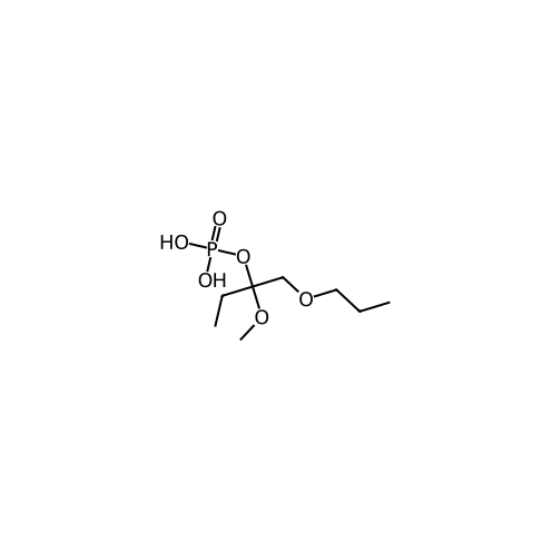 CCCOCC(CC)(OC)OP(=O)(O)O